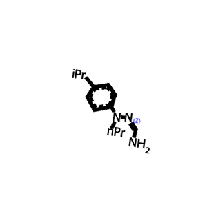 CCCN(/N=C\N)c1ccc(C(C)C)cc1